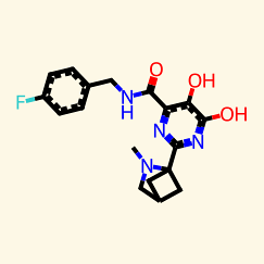 CN1CC2CC1(c1nc(O)c(O)c(C(=O)NCc3ccc(F)cc3)n1)C2